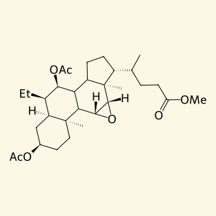 CC[C@H]1[C@@H](OC(C)=O)C2C3CC[C@H](C(C)CCC(=O)OC)[C@@]3(C)[C@@H]3O[C@@H]3C2[C@@]2(C)CC[C@@H](OC(C)=O)C[C@@H]12